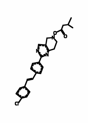 CC(C)CC(=O)ON1CCc2nc(-c3ccc(C=Cc4ccc(Cl)cc4)cc3)ncc2C1